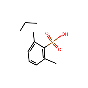 CCC.Cc1cccc(C)c1S(=O)(=O)O